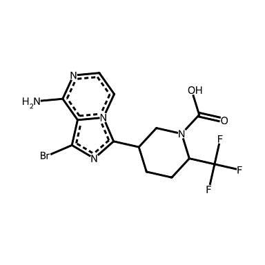 Nc1nccn2c(C3CCC(C(F)(F)F)N(C(=O)O)C3)nc(Br)c12